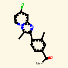 CNC(=O)c1ccc(-c2nc3cc(Cl)ccn3c2C)c(C)c1